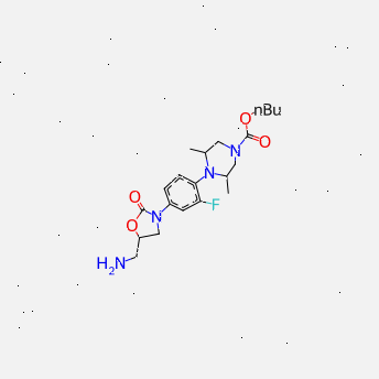 CCCCOC(=O)N1CC(C)N(c2ccc(N3CC(CN)OC3=O)cc2F)C(C)C1